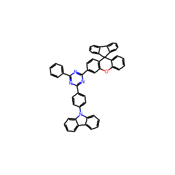 c1ccc(-c2nc(-c3ccc(-n4c5ccccc5c5ccccc54)cc3)nc(-c3ccc4c(c3)Oc3ccccc3C43c4ccccc4-c4ccccc43)n2)cc1